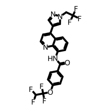 O=C(Nc1cccc2c(-c3cnn(CC(F)(F)F)c3)ccnc12)c1ccc(OC(F)(F)C(F)F)cc1